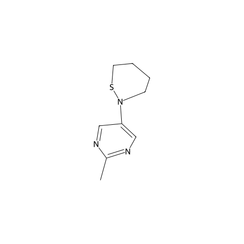 Cc1ncc(N2CCCCS2)cn1